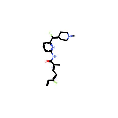 C=C/C(F)=C\C=C(/C)C(=O)Nc1cccc(C(F)=C2CCN(C)CC2)n1